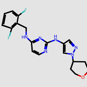 Fc1cccc(F)c1CNc1ccnc(Nc2cnn(C3CCOCC3)c2)n1